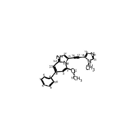 COc1cc(-c2ccccc2)cc2ncc(C#Cc3cncn3C)n12